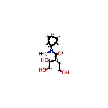 CN(C(=O)[C@@H](CCO)[C@@H](O)CO)c1ccccc1